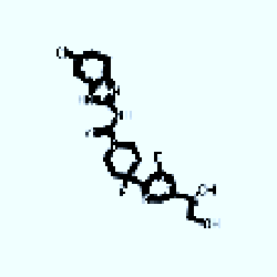 O=C(Nc1nc2ccc(Cl)cc2[nH]1)N1CCC(F)(c2ncc([C@H](O)CO)cc2F)CC1